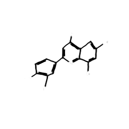 Oc1cc(Br)c2nc(-c3ccc(O)c(F)c3)cc(Br)c2c1